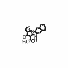 O=C(O)c1c(=O)c2ccsc2n2c1[nH]c1cc3ccccc3cc12